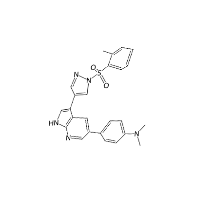 Cc1ccccc1S(=O)(=O)n1cc(-c2c[nH]c3ncc(-c4ccc(N(C)C)cc4)cc23)cn1